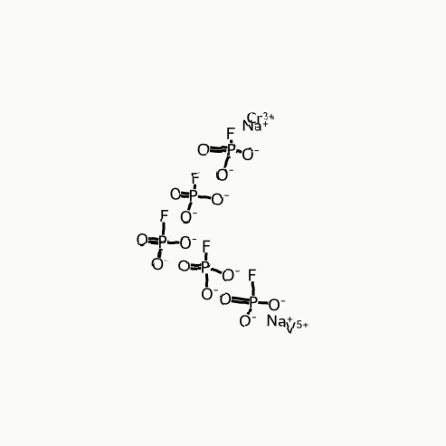 O=P([O-])([O-])F.O=P([O-])([O-])F.O=P([O-])([O-])F.O=P([O-])([O-])F.O=P([O-])([O-])F.[Cr+3].[Na+].[Na+].[V+5]